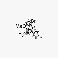 COc1ccc(Br)nc1-c1nc(N)nc(C2CCN(C)CC2)c1C